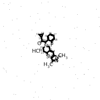 Cc1cc(C=C2CN(C(C(=O)C3CC3)c3ccccc3F)CCC2S)n(C)n1.Cl